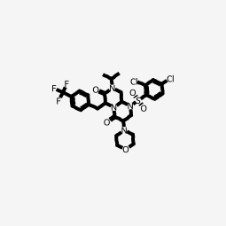 CC(C)N1CC2N(C(=O)C(N3CCOCC3)CN2S(=O)(=O)c2ccc(Cl)cc2Cl)C(Cc2ccc(C(F)(F)F)cc2)C1=O